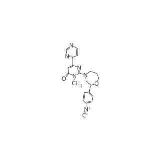 [C-]#[N+]c1ccc([C@H]2CN(c3nc(-c4ccncn4)cc(=O)n3C)CCCO2)cc1